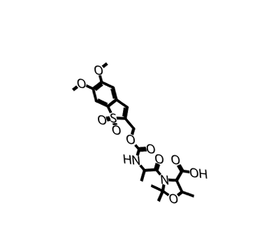 COc1cc2c(cc1OC)S(=O)(=O)C(COC(=O)NC(C)C(=O)N1C(C(=O)O)C(C)OC1(C)C)=C2